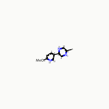 COc1ccc(-c2cnc(C)cn2)cn1